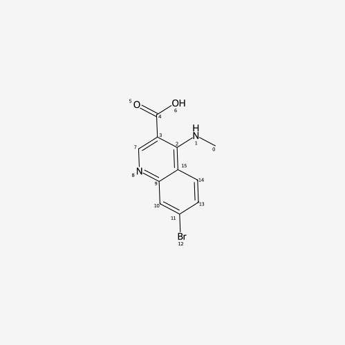 CNc1c(C(=O)O)cnc2cc(Br)ccc12